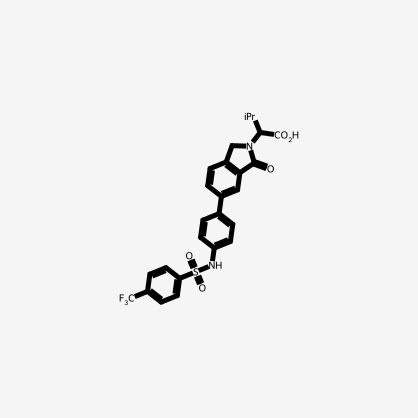 CC(C)C(C(=O)O)N1Cc2ccc(-c3ccc(NS(=O)(=O)c4ccc(C(F)(F)F)cc4)cc3)cc2C1=O